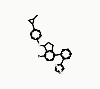 CC1CC1c1ccc(OC2CCc3c(-c4ccccc4-c4cnco4)ccc(F)c32)cc1